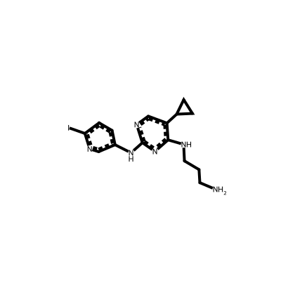 NCCCNc1nc(Nc2ccc(I)nc2)ncc1C1CC1